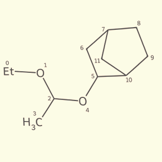 CCOC(C)OC1CC2CCC1C2